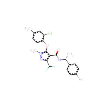 CC(=O)c1ccc([C@H](C)NC(=O)c2c(C(F)F)nn(C)c2Oc2ccc(C(F)(F)F)cc2Cl)cc1